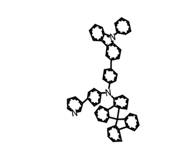 c1ccc(-n2c3ccccc3c3cc(-c4ccc(N(c5ccc(-c6cccnc6)cc5)c5cccc6c5-c5ccccc5C65c6ccccc6-c6ccccc65)cc4)ccc32)cc1